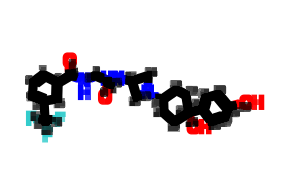 O=C(CNC(=O)c1cccc(C(F)(F)F)c1)NC1CN([C@H]2CC[C@@](O)(c3ccc(O)cc3)CC2)C1